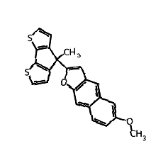 COc1ccc2cc3oc(C4(C)c5ccsc5-c5sccc54)cc3cc2c1